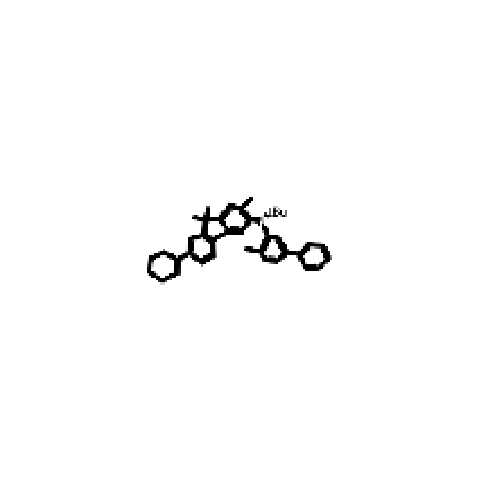 Cc1ccc(-c2ccccc2)cc1N(c1cc2c(cc1C)C(C)(C)c1cc(C3CCCCC3)ccc1-2)C(C)(C)C